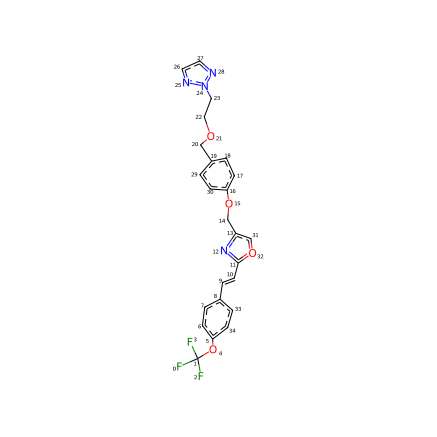 FC(F)(F)Oc1ccc(/C=C/c2nc(COc3ccc(COCCn4nccn4)cc3)co2)cc1